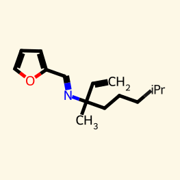 C=CC(C)(CCCC(C)C)N=Cc1ccco1